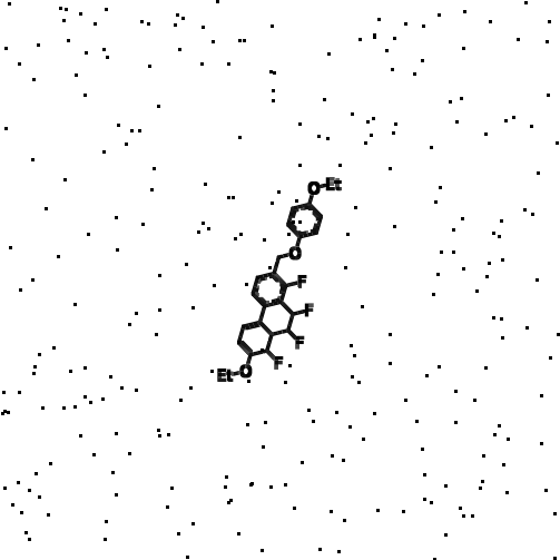 CCOC1=CC=C2c3ccc(COc4ccc(OCC)cc4)c(F)c3C(F)C(F)C2C1F